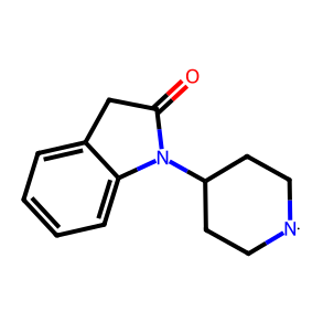 O=C1Cc2ccccc2N1C1CC[N]CC1